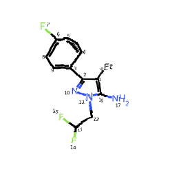 CCc1c(-c2ccc(F)cc2)nn(CC(F)F)c1N